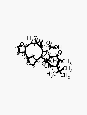 CC1=C(C(C)(C)C)CC(=O)C(N(C(=O)O)C2C(N(C)C)C3COC(C3)C3C=COC3CC3(C)OC23)C1=O